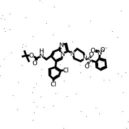 CC(C)(C)OC(=O)NCc1cc2ncc(N3CCN(S(=O)(=O)c4ccccc4[N+](=O)[O-])CC3)n2cc1-c1ccc(Cl)cc1Cl